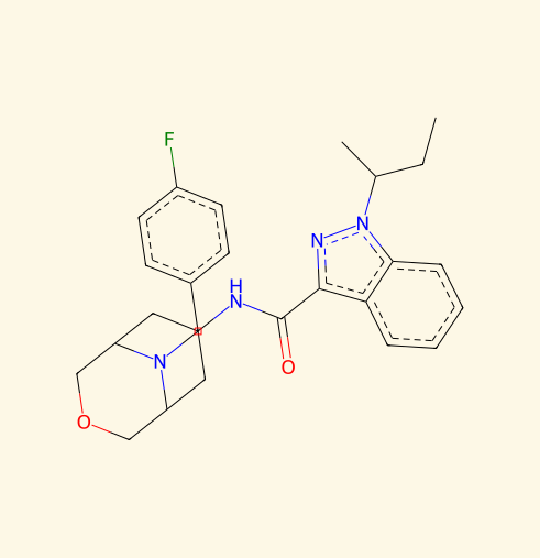 CCC(C)n1nc(C(=O)NC2CC3COCC(C2)N3Cc2ccc(F)cc2)c2ccccc21